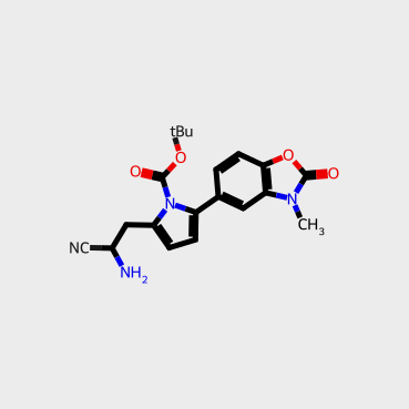 Cn1c(=O)oc2ccc(-c3ccc(CC(N)C#N)n3C(=O)OC(C)(C)C)cc21